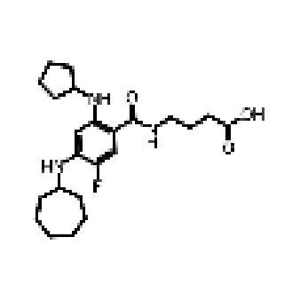 O=C(O)CCCNC(=O)c1cc(F)c(NC2CCCCCC2)cc1NC1CCCC1